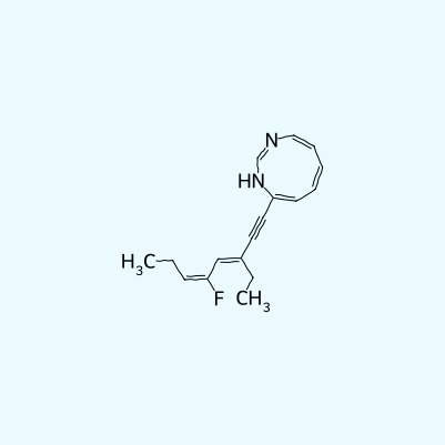 CC/C=C(F)\C=C(\C#Cc1cccccnc[nH]1)CC